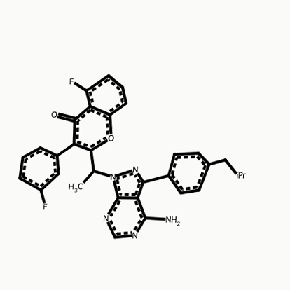 CC(C)Cc1ccc(-c2nn(C(C)c3oc4cccc(F)c4c(=O)c3-c3cccc(F)c3)c3ncnc(N)c23)cc1